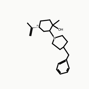 C=C(C)[C@@H]1CCC(C)(O)C(N2CCC(Cc3ccccc3)CC2)C1